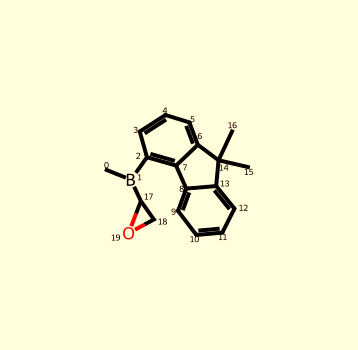 CB(c1cccc2c1-c1ccccc1C2(C)C)C1CO1